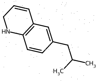 CC(C)Cc1ccc2c(c1)C=CCN2